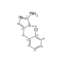 Nc1ncc(Cc2ccccc2Cl)s1